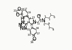 CCCCN(CCCC)C(=O)CN1C[C@H](c2ccc3c(c2)OCO3)[C@H](c2nnn[nH]2)[C@H]1c1ccc(OC)cc1